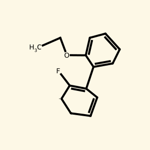 CCOc1ccccc1C1=C(F)[CH]CC=C1